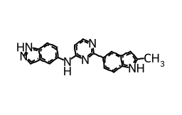 Cc1cc2cc(-c3nccc(Nc4ccc5[nH]ncc5c4)n3)ccc2[nH]1